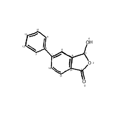 O=C1OC(O)c2cc(-c3ccccc3)ccc21